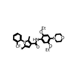 CCOc1cc(N2CCOCC2)c(OCC)cc1NC(=O)c1cc(C)n(-c2ccccc2C(F)(F)F)c1C